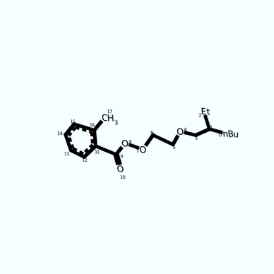 CCCCC(CC)COC[CH]OOC(=O)c1ccccc1C